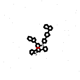 c1cc(-c2ccc3ccccc3c2)cc(N(c2ccc(-c3ccc(-c4cccc5ccccc45)cc3)cc2)c2ccccc2-c2ccc3c(c2)sc2ccccc23)c1